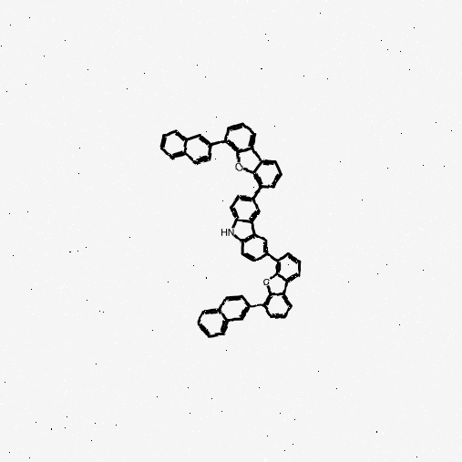 c1ccc2cc(-c3cccc4c3oc3c(-c5ccc6[nH]c7ccc(-c8cccc9c8oc8c(-c%10ccc%11ccccc%11c%10)cccc89)cc7c6c5)cccc34)ccc2c1